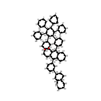 c1ccc(-c2c(-c3ccccc3)c(-c3ccccc3)c(-c3cccc(-c4c5ccccc5c(-c5cccc(-c6ccc7cccnc7c6)c5)c5ccccc45)c3)c(-c3ccccc3)c2-c2ccccc2)cc1